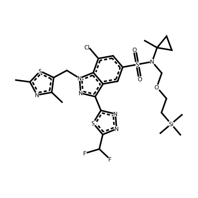 Cc1nc(C)c(Cn2nc(-c3nnc(C(F)F)s3)c3cc(S(=O)(=O)N(COCC[Si](C)(C)C)C4(C)CC4)cc(Cl)c32)s1